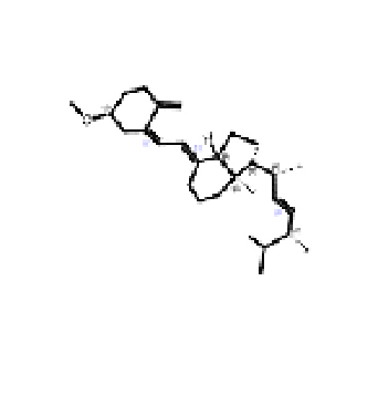 C=C1CC[C@H](OC)C/C1=C/C=C1\CCC[C@]2(C)[C@@H]([C@H](C)/C=C/[C@H](C)C(C)C)CC[C@@H]12